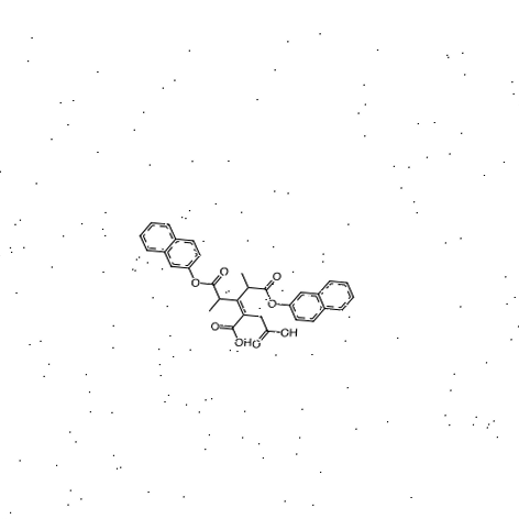 CC(C(=O)Oc1ccc2ccccc2c1)C(=C(CC(=O)O)C(=O)O)C(C)C(=O)Oc1ccc2ccccc2c1